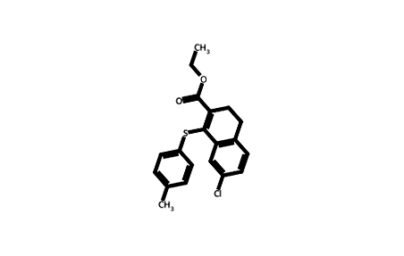 CCOC(=O)C1=C(Sc2ccc(C)cc2)c2cc(Cl)ccc2CC1